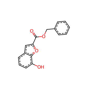 O=C(OCc1ccccc1)c1cc2cccc(O)c2o1